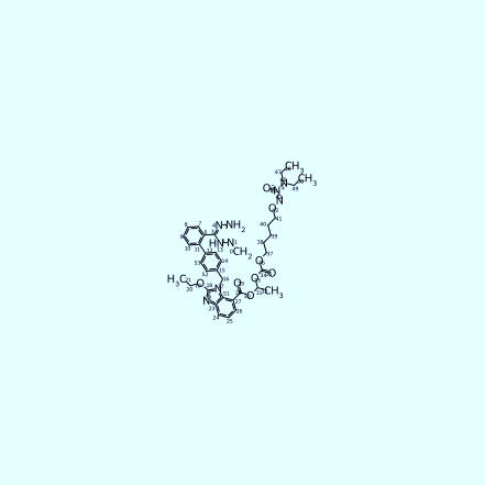 C=NN/C(=N\N)c1ccccc1-c1ccc(Cn2c(OCC)nc3cccc(C(=O)OC(C)OC(=O)OCCCCCO/N=[N+](\[O-])N(CC)CC)c32)cc1